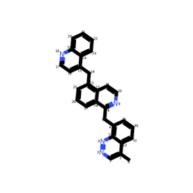 Cc1cnnc2c(Cc3nccc4c(Cc5ccnc6ccccc56)cccc34)cccc12